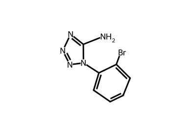 Nc1nnnn1-c1ccccc1Br